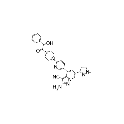 Cn1ccc(-c2cc(-c3ccc(N4CCN(C(=O)[C@H](O)c5ccccc5)CC4)nc3)c3c(C#N)c(N)nn3c2)n1